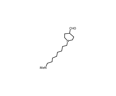 CNCCCCCCCCN1CCC(C=O)CC1